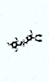 C#CCN(CC#C)c1cc(CS(=O)(=O)/C=C/c2c(OC)cc(OC)cc2OC)cnc1OC